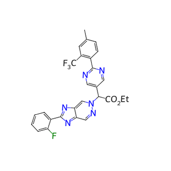 CCOC(=O)C(c1cnc(-c2ccc(C)cc2C(F)(F)F)nc1)n1cc2nc(-c3ccccc3F)nc-2cn1